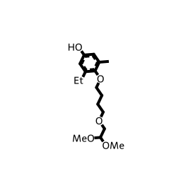 CCc1cc(O)cc(C)c1OCCCCOCC(OC)OC